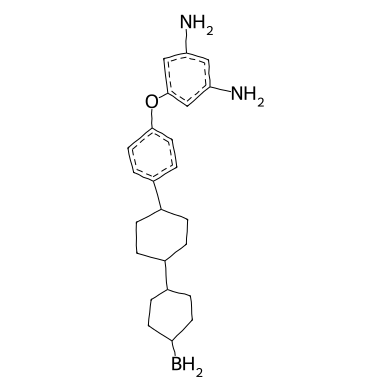 BC1CCC(C2CCC(c3ccc(Oc4cc(N)cc(N)c4)cc3)CC2)CC1